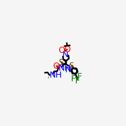 CC[C@@H](C)NCCC(=O)Nc1sc2c(c1-c1nc3cc(C(F)(F)F)ccc3s1)CCN(C(=O)OC(C)(C)C)C2